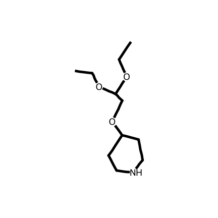 CCOC(COC1CCNCC1)OCC